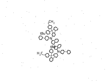 C=Cc1ccc(C2(c3ccc(C(C)(C)C)cc3)c3ccccc3-c3ccc(N(c4ccc(-c5ccccc5)cc4)c4ccc(-c5ccc(N(c6ccc(-c7ccccc7)cc6)c6ccc7c(c6)C(c6ccc(C=C)cc6)(c6ccc(C(C)(C)C)cc6)c6ccccc6-7)c6ccccc56)c5ccccc45)cc32)cc1